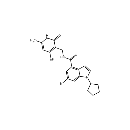 CCCc1cc(C)[nH]c(=O)c1CNC(=O)c1cc(Br)cc2c1ccn2C1CCCC1